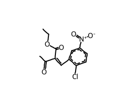 CCOC(=O)C(=Cc1cc([N+](=O)[O-])ccc1Cl)C(C)=O